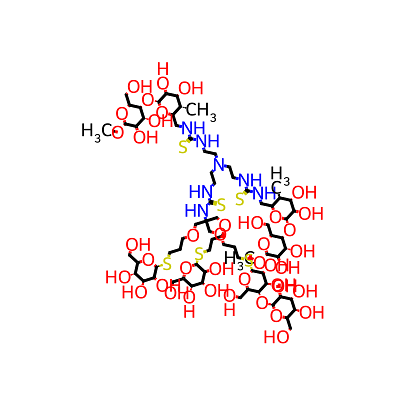 CO[C@H]1OC(CO)[C@@H](O[C@H]2OC(CNC(=S)NCCN(CCNC(=S)NCC3O[C@H](O[C@@H]4C(CO)O[C@H](OC)C(O)[C@H]4O)C(O)[C@@H](O)[C@@H]3C)CCNC(=S)NC(COCCCS[C@@H]3OC(CO)[C@@H](O)[C@H](O)C3O)(COCCCS[C@@H]3OC(CO)[C@@H](O)[C@H](O)C3O)COCCCS[C@@H]3OC(CO)[C@@H](O[C@@H]4OC(CO)[C@H](O)[C@H](O)C4O)[C@H](O)C3O)[C@@H](C)[C@H](O)C2O)[C@H](O)C1O